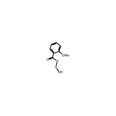 [CH2]CCOOC(=O)c1ccccc1OC